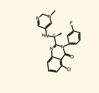 C[C@H](NC1=CN(C)CN=C1)c1nc2cccc(Cl)c2c(=O)n1-c1cccc(F)c1